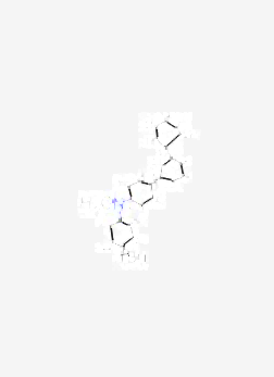 CN(c1ccc(-c2cccc(-c3ccccc3)c2)cc1)c1ccc(C(C)(C)C)cc1